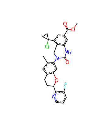 COC(=O)c1cc2c(c(C3(Cl)CC3)c1)CN(c1cc3c(cc1C)CCC(c1ncccc1F)O3)C(=O)N2